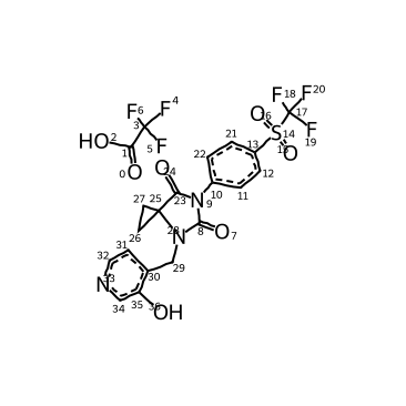 O=C(O)C(F)(F)F.O=C1N(c2ccc(S(=O)(=O)C(F)(F)F)cc2)C(=O)C2(CC2)N1Cc1ccncc1O